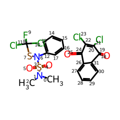 CN(C)S(=O)(=O)N(SC(F)(Cl)Cl)c1ccccc1.O=C1C(Cl)=C(Cl)C(=O)c2ccccc21